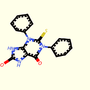 O=c1[nH]c2c(=O)n(-c3ccccc3)c(=S)n(-c3ccccc3)c2[nH]1